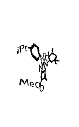 COC(=O)c1cc2nc(Nc3ccc(C(C)C)cc3)n([C@H]3CC(C)CC(C)(C)C3)c2cc1C